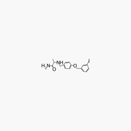 CC(NCc1ccc(OCc2cccc(I)c2)cc1)C(N)=O